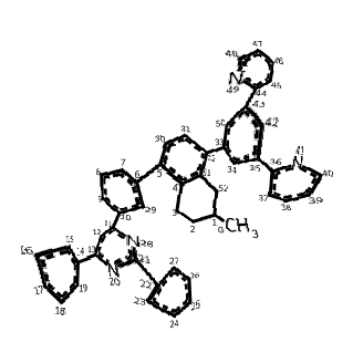 CC1CCc2c(-c3cccc(-c4cc(-c5ccccc5)nc(-c5ccccc5)n4)c3)ccc(-c3cc(-c4ccccn4)cc(-c4ccccn4)c3)c2C1